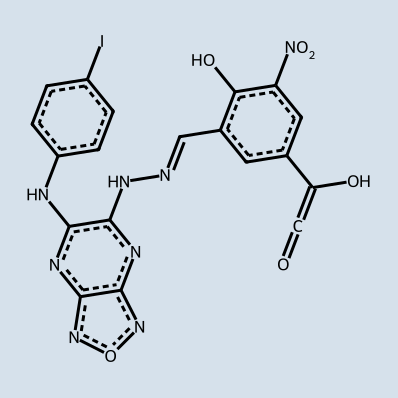 O=C=C(O)c1cc(/C=N/Nc2nc3nonc3nc2Nc2ccc(I)cc2)c(O)c([N+](=O)[O-])c1